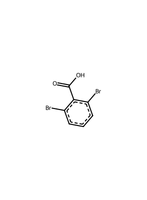 O=C(O)c1c(Br)cccc1Br